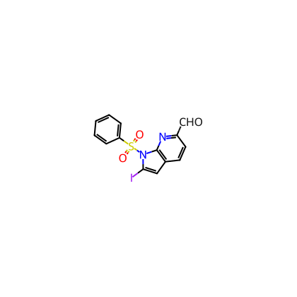 O=Cc1ccc2cc(I)n(S(=O)(=O)c3ccccc3)c2n1